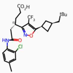 Cc1ccc(NC(=O)C[C@H](CCC(=O)O)c2noc([C@H]3C[C@@H](CC(C)(C)C)C3)c2C(F)(F)F)c(Cl)c1